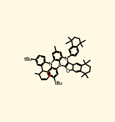 Cc1cc2c3c(c1)N(c1ccc(C(C)(C)C)cc1C1C=CC=CC1C)c1ccc(C(C)(C)C)cc1B3C1=C(C3C=C4C(=CC3O1)C(C)(C)CCC4(C)C)N2c1ccc2c(c1)C(C)(C)CCC2(C)C